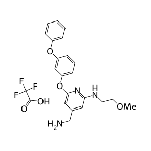 COCCNc1cc(CN)cc(Oc2cccc(Oc3ccccc3)c2)n1.O=C(O)C(F)(F)F